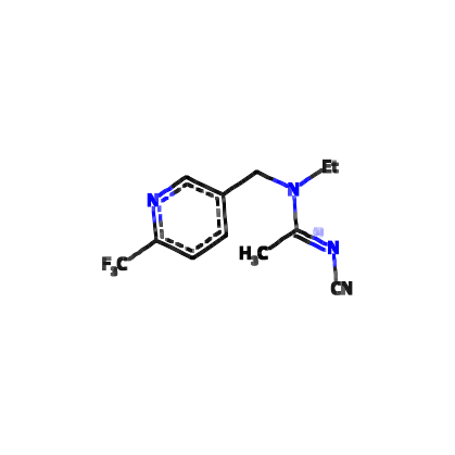 CCN(Cc1ccc(C(F)(F)F)nc1)/C(C)=N/C#N